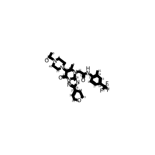 CC(=O)N1CCN(c2c(C)n(CC(=O)Nc3ccc(C(F)(F)F)cc3C)c3nc(C4=CCOCC4)nn3c2=O)CC1